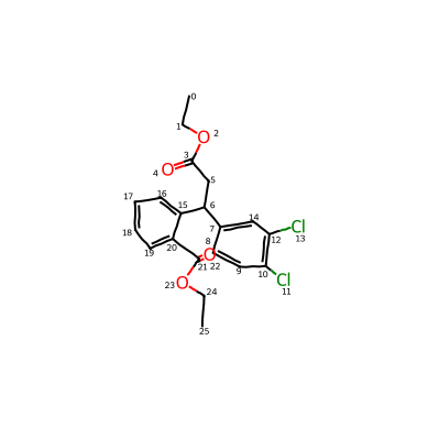 CCOC(=O)CC(c1ccc(Cl)c(Cl)c1)c1ccccc1C(=O)OCC